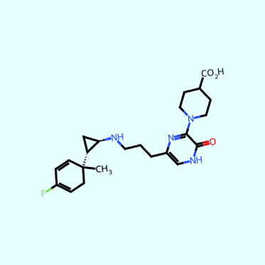 CC1([C@@H]2C[C@H]2NCCCc2c[nH]c(=O)c(N3CCC(C(=O)O)CC3)n2)C=CC(F)=CC1